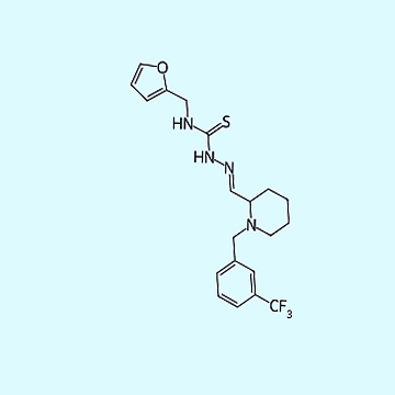 FC(F)(F)c1cccc(CN2CCCCC2C=NNC(=S)NCc2ccco2)c1